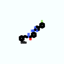 COc1cccc(CCNC(=O)c2cccc(Nc3ncc(-c4cccc(F)c4)cn3)c2)c1